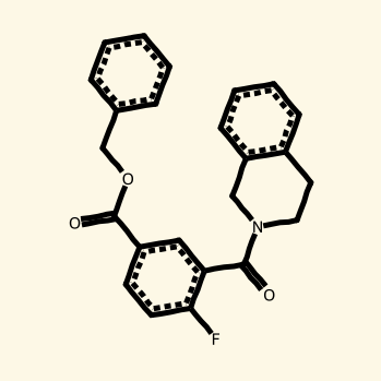 O=C(OCc1ccccc1)c1ccc(F)c(C(=O)N2CCc3ccccc3C2)c1